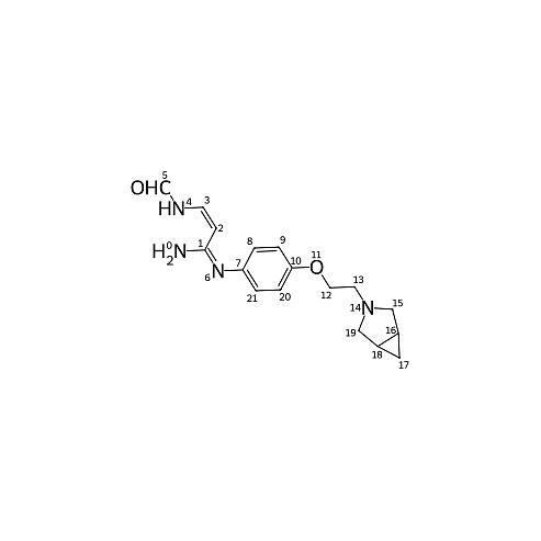 NC(/C=C\NC=O)=N/c1ccc(OCCN2CC3CC3C2)cc1